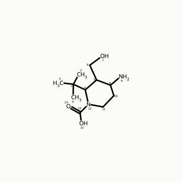 CC(C)(C)C1C(CO)C(N)CCN1C(=O)O